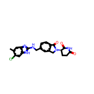 Cc1cc2nc(NCc3ccc4c(c3)CN([C@@H]3CCC(=O)NC3=O)C4=O)[nH]c2cc1Cl